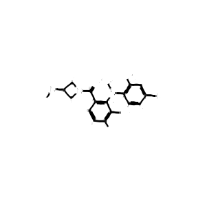 CNC1CN(C(=O)c2ccc(F)c(F)c2N(C)c2ccc(I)cc2F)C1